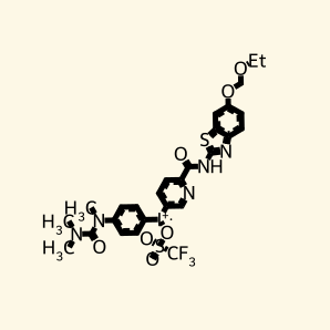 CCOCOc1ccc2nc(NC(=O)c3ccc([I+](OS(=O)(=O)C(F)(F)F)c4ccc(N(C)C(=O)N(C)C)cc4)cn3)sc2c1